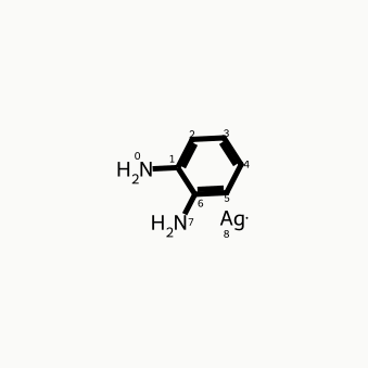 Nc1ccccc1N.[Ag]